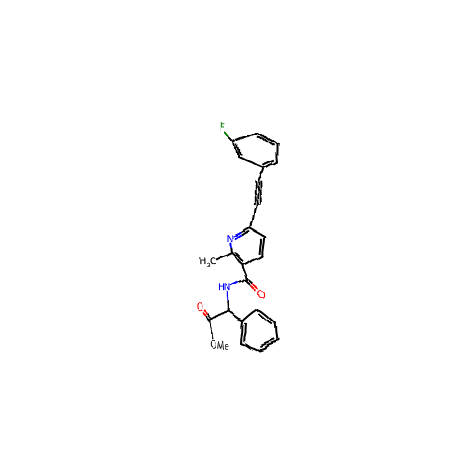 COC(=O)C(NC(=O)c1ccc(C#Cc2cccc(F)c2)nc1C)c1ccccc1